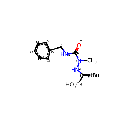 CN(NC(C(=O)O)C(C)(C)C)C(=O)NCc1ccccc1